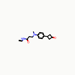 C=CNC(=O)CCN(C)c1ccc(C2CC(=O)C2)cc1